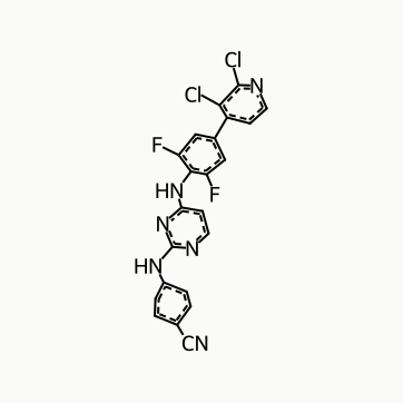 N#Cc1ccc(Nc2nccc(Nc3c(F)cc(-c4ccnc(Cl)c4Cl)cc3F)n2)cc1